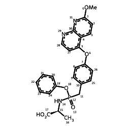 COc1ccc2c(Oc3ccc(CP(=O)(N[C@@H](C)C(=O)O)Oc4ccccc4)cc3)ccnc2n1